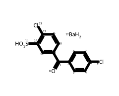 O=C(c1ccc(Cl)cc1)c1ccc(Cl)c(S(=O)(=O)O)c1.[BaH2]